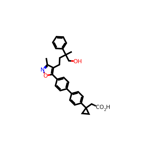 Cc1noc(-c2ccc(-c3ccc(C4(CC(=O)O)CC4)cc3)cc2)c1CCC(C)(CO)c1ccccc1